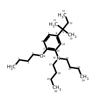 CCCCOc1ccc(C(C)(C)CC)cc1N(CCCC)CCCC